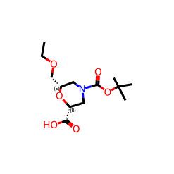 CCOC[C@@H]1CN(C(=O)OC(C)(C)C)C[C@H](C(=O)O)O1